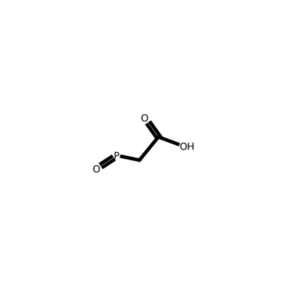 O=PCC(=O)O